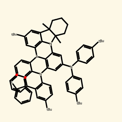 CC(C)(C)c1ccc(N(c2ccc(C(C)(C)C)cc2)c2cc3c4c(c2)N2c5c(cc(C(C)(C)C)cc5C5(C)CCCCC25C)B4c2ccc4sc5ccccc5c4c2N3c2ccc(C(C)(C)C)cc2-c2ccccc2)cc1